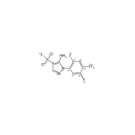 Nc1c(C(F)(Cl)Cl)cnn1-c1cc(F)c(C(F)(F)F)cc1F